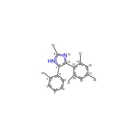 [CH2]c1ccccc1-c1[nH]c(C)nc1-c1c(C)cc(C)cc1C